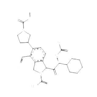 C=Cc1c(C2CCN(C(=O)OC)C2)ccc2c1CN(C(=O)O)C2C(=O)[C@@H](NC(N)=S)C1CCCCC1